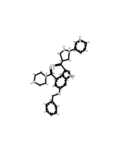 O=C(c1c[nH]c2cc(OCc3ccccc3)cc(C(=O)N3CCOCC3)c12)C1CSN(c2cccnc2)C1